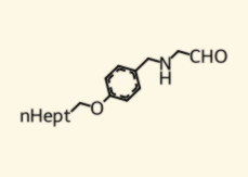 CCCCCCCCOc1ccc(CNCC=O)cc1